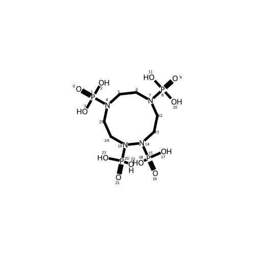 O=P(O)(O)N1CCN(P(=O)(O)O)CCN(P(=O)(O)O)N(P(=O)(O)O)CC1